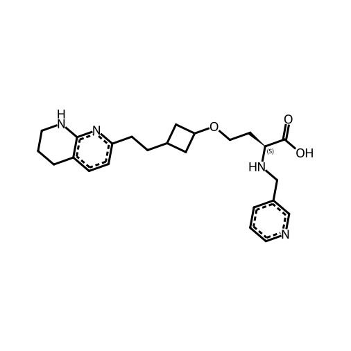 O=C(O)[C@H](CCOC1CC(CCc2ccc3c(n2)NCCC3)C1)NCc1cccnc1